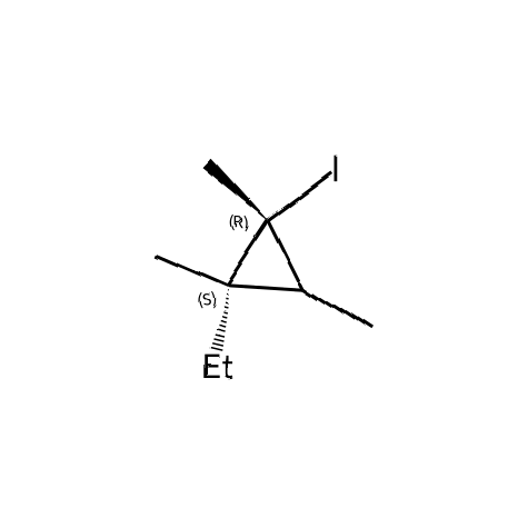 CC[C@@]1(C)C(C)[C@@]1(C)I